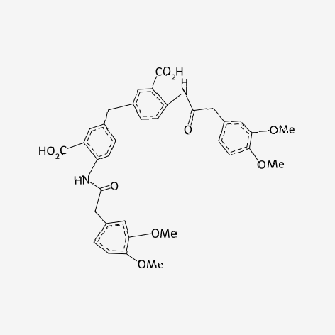 COc1ccc(CC(=O)Nc2ccc(Cc3ccc(NC(=O)Cc4ccc(OC)c(OC)c4)c(C(=O)O)c3)cc2C(=O)O)cc1OC